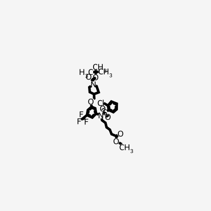 CCOC(=O)CCCCCN(c1cc(OCC2CCN(C(=O)OC(C)(C)C)CC2)cc(C(F)(F)F)c1)S(=O)(=O)c1ccccc1Cl